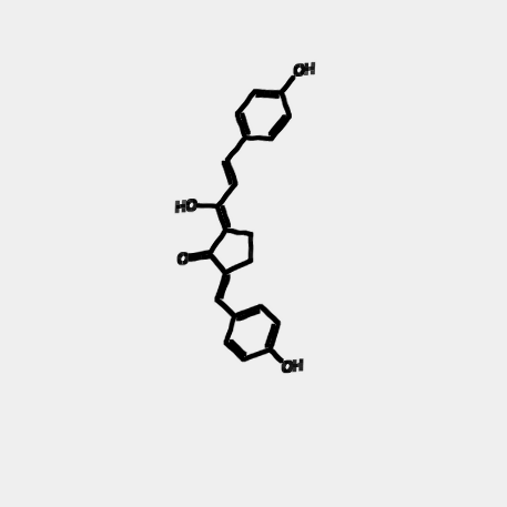 O=C1C(=Cc2ccc(O)cc2)CCC1=C(O)C=Cc1ccc(O)cc1